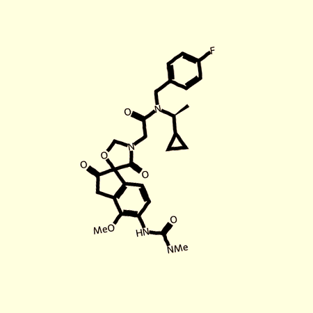 CNC(=O)Nc1ccc2c(c1OC)CC(=O)C21OCN(CC(=O)N(Cc2ccc(F)cc2)[C@@H](C)C2CC2)C1=O